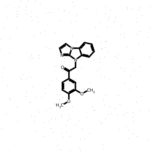 COc1ccc(C(=O)Cn2c3ccccc3n3ccnc23)cc1OC